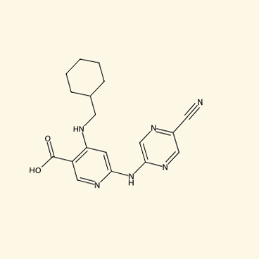 N#Cc1cnc(Nc2cc(NCC3CCCCC3)c(C(=O)O)cn2)cn1